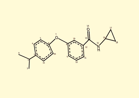 CC(C)c1ccc(Oc2cccc(C(=O)NC3CC3)c2)cc1